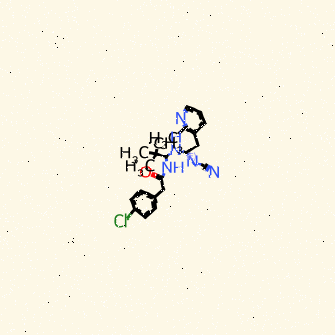 Cc1ncccc1C/C(=N\C#N)NC(NC(=O)Cc1ccc(Cl)cc1)C(C)(C)C